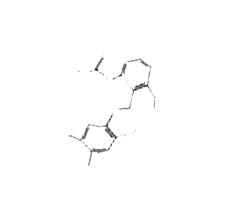 COC(=O)Oc1cccc(CO)c1COc1cc(C)c(C)cc1F